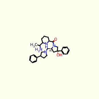 CC(N)C1CCCC(C(=O)N2C[C@@](O)(c3ccccc3)C[C@H]2CN2CCC(c3ccccc3)C2)N1